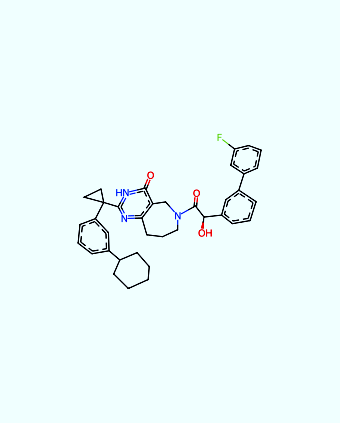 O=C([C@H](O)c1cccc(-c2cccc(F)c2)c1)N1CCCc2nc(C3(c4cccc(C5CCCCC5)c4)CC3)[nH]c(=O)c2C1